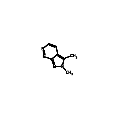 Cc1c2ccnnc2nn1C